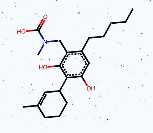 CCCCCc1cc(O)c(C2C=C(C)CCC2)c(O)c1CN(C)C(=O)O